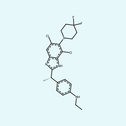 CCNc1ccc([C@H](C)c2nc3cc(Cl)c(N4CCC(F)(F)CC4)c(Cl)c3[nH]2)cc1